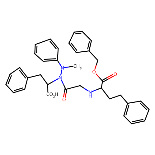 CN(c1ccccc1)N(C(=O)CNC(CCc1ccccc1)C(=O)OCc1ccccc1)C(Cc1ccccc1)C(=O)O